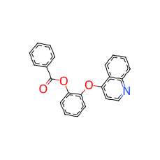 O=C(Oc1ccccc1Oc1ccnc2ccccc12)c1ccccc1